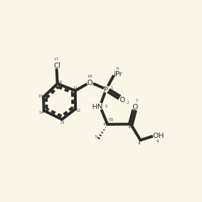 CC(C)P(=O)(N[C@@H](C)C(=O)CO)Oc1ccccc1Cl